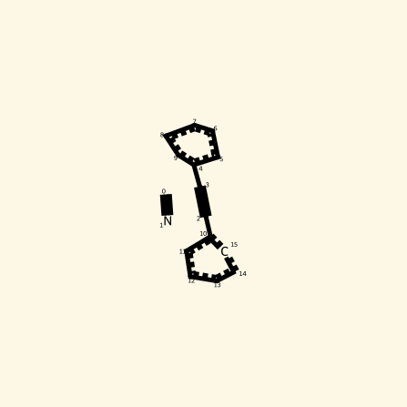 C#N.C(#Cc1ccccc1)c1ccccc1